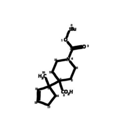 CC(C)(C)OC(=O)N1CCC(C(=O)O)(C2(C)C=CCC2)CC1